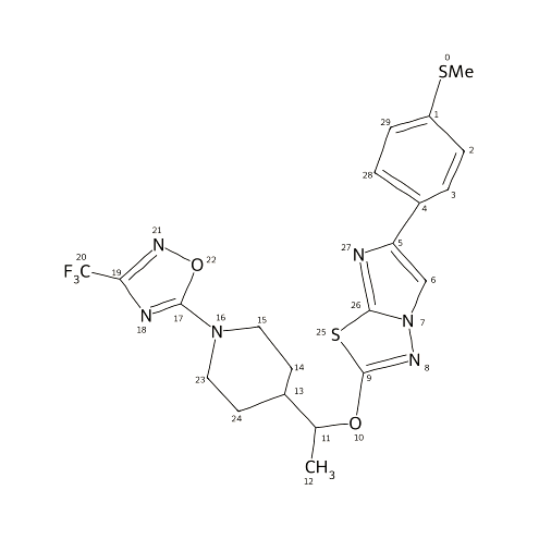 CSc1ccc(-c2cn3nc(OC(C)C4CCN(c5nc(C(F)(F)F)no5)CC4)sc3n2)cc1